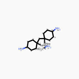 CCCCCCC1(CC2(CCCCCC)CCC(N)CC2)CCC(N)CC1.NC(=O)O